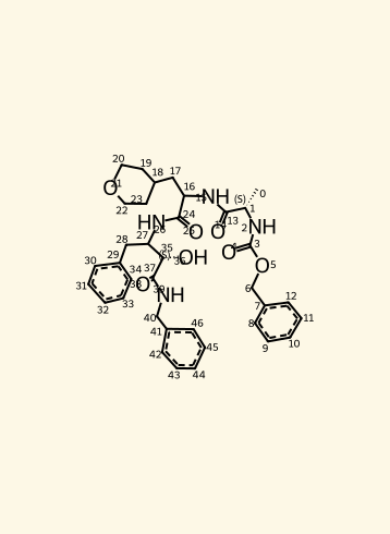 C[C@H](NC(=O)OCc1ccccc1)C(=O)NC(CC1CCOCC1)C(=O)NC(Cc1ccccc1)[C@H](O)C(=O)NCc1ccccc1